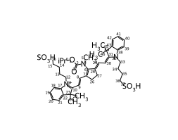 CC(C)OC(=O)N(C)C1=C(/C=C/C2=[N+](CCCCS(=O)(=O)O)c3ccccc3C2(C)C)CC/C1=C\C=C1\N(CCCCS(=O)(=O)O)c2ccccc2C1(C)C